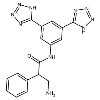 NCC(C(=O)Nc1cc(-c2nnn[nH]2)cc(-c2nnn[nH]2)c1)c1ccccc1